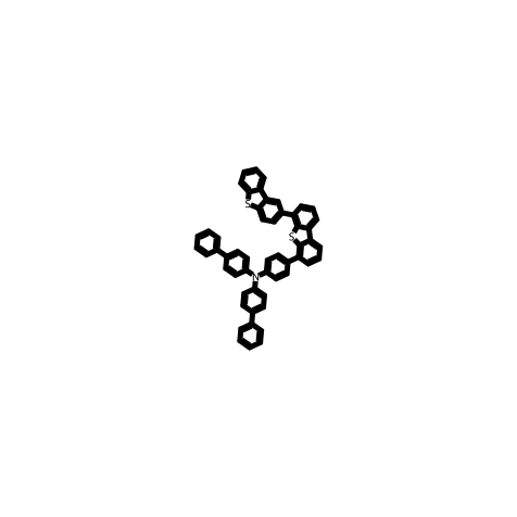 c1ccc(-c2ccc(N(c3ccc(-c4ccccc4)cc3)c3ccc(-c4cccc5c4sc4c(-c6ccc7sc8ccccc8c7c6)cccc45)cc3)cc2)cc1